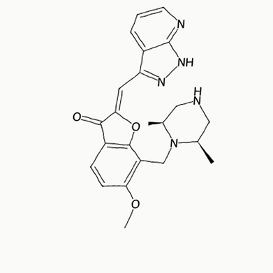 COc1ccc2c(c1CN1[C@H](C)CNC[C@@H]1C)O/C(=C\c1n[nH]c3ncccc13)C2=O